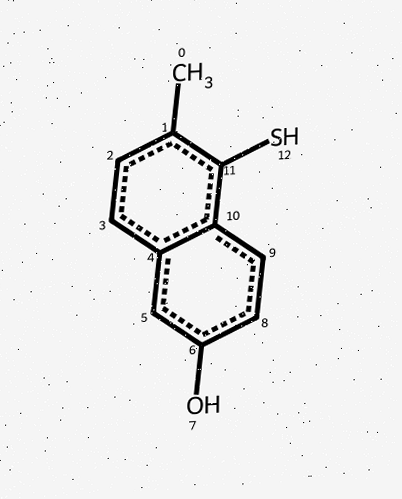 Cc1ccc2cc(O)ccc2c1S